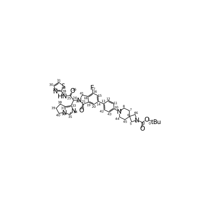 CC(C)(C)OC(=O)N1CC2(CCN(c3ccc(-c4cc(F)c5c(c4)C(=O)N(C(C(=O)Nc4nccs4)c4ncn6c4CCC6)C5)cc3)CC2)C1